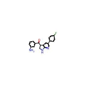 Nc1cccc(C(=O)C2CNc3ncc(-c4ccc(F)cc4)cc32)c1